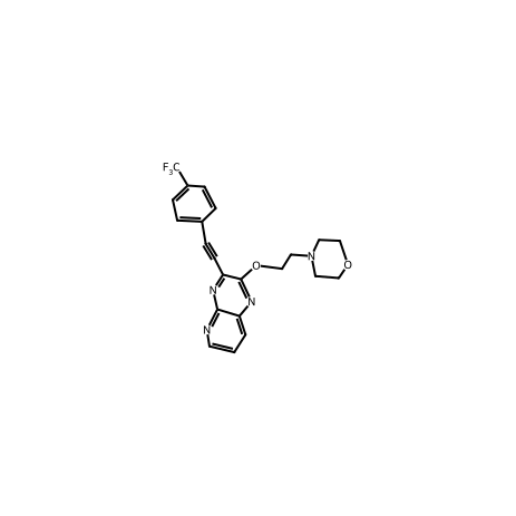 FC(F)(F)c1ccc(C#Cc2nc3ncccc3nc2OCCN2CCOCC2)cc1